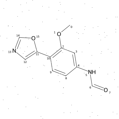 COc1cc(NC=O)ccc1-c1cnco1